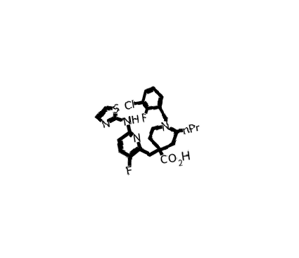 CCCC1CC(Cc2nc(Nc3nccs3)ccc2F)(C(=O)O)CCN1Cc1cccc(Cl)c1F